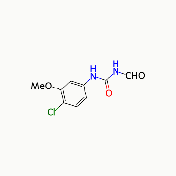 COc1cc(NC(=O)NC=O)ccc1Cl